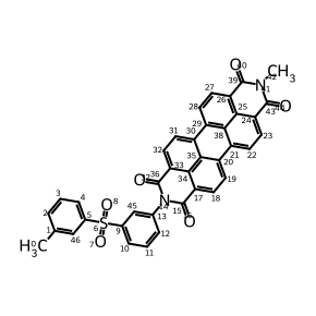 Cc1cccc(S(=O)(=O)c2cccc(N3C(=O)c4ccc5c6ccc7c8c(ccc(c9ccc(c4c59)C3=O)c86)C(=O)N(C)C7=O)c2)c1